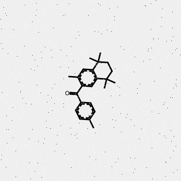 Cc1ccc(C(=O)c2cc3c(cc2C)C(C)(C)CCC3(C)C)cc1